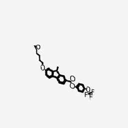 CC1c2cc(OCCCCC3CO3)ccc2-c2ccc(C(=O)Oc3ccc(OC(F)(F)F)cc3)cc21